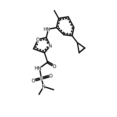 Cc1ccc(C2CC2)cc1Nc1nc(C(=O)NS(=O)(=O)N(C)C)co1